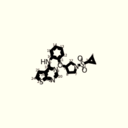 O=S(=O)(C1CC1)N1CCC(Oc2ccccc2Nc2ncnc3sccc23)C1